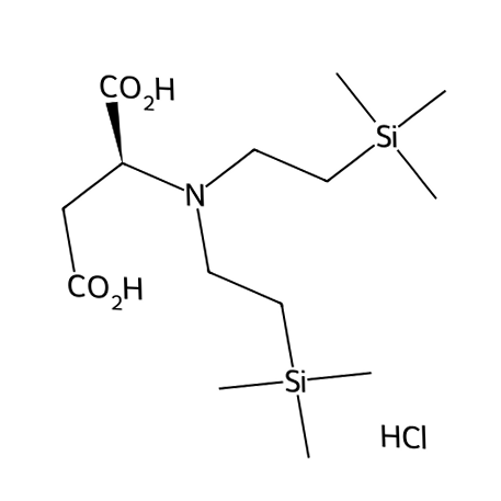 C[Si](C)(C)CCN(CC[Si](C)(C)C)[C@@H](CC(=O)O)C(=O)O.Cl